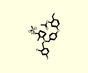 CCc1ccc(Oc2ccc(CN(Cc3ccc(F)cc3F)c3cccc(NS(C)(=O)=O)c3C)cc2)cc1OC(C)=O